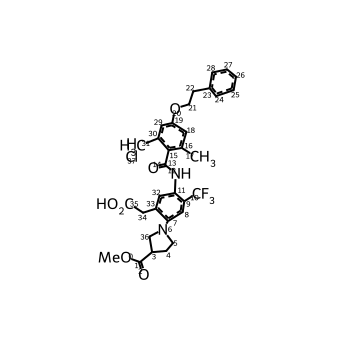 COC(=O)C1CCN(c2cc(C(F)(F)F)c(NC(=O)c3c(C)cc(OCCc4ccccc4)cc3C)cc2CC(=O)O)C1.Cl